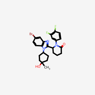 CC1(O)CCC(n2c(C3CCCC(=O)N3c3ccc(F)c(F)c3)nc3cc(Br)ccc32)CC1